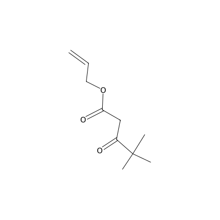 C=CCOC(=O)CC(=O)C(C)(C)C